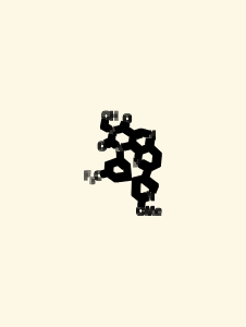 COc1ccc(-c2ccc3ncc4c(=O)n(CO)c(=O)n(-c5cccc(C(F)(F)F)c5)c4c3n2)cn1